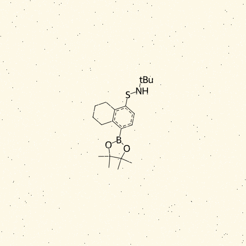 CC(C)(C)NSc1ccc(B2OC(C)(C)C(C)(C)O2)c2c1CCCC2